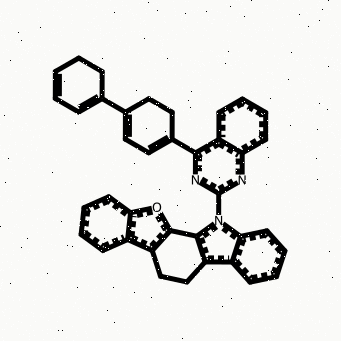 C1=CCCC(C2=CC=C(c3nc(-n4c5c(c6ccccc64)CCc4c-5oc5ccccc45)nc4ccccc34)CC2)=C1